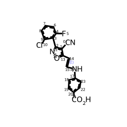 N#Cc1c(-c2c(F)cccc2Cl)noc1/C=C/Nc1ccc(C(=O)O)cc1